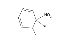 CC1C=CC=CC1(F)[N+](=O)[O-]